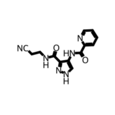 N#CCCNC(=O)c1n[nH]cc1NC(=O)c1ccccn1